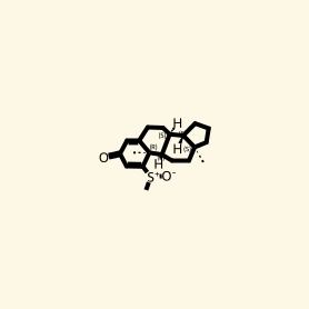 C[S+]([O-])C1=CC(=O)C=C2CC[C@H]3[C@@H]4CCC[C@@]4(C)CC[C@@H]3[C@]21C